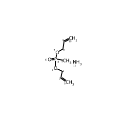 C=CCOP(C)(=O)OCC=C.N